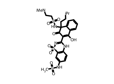 CNCCS(=O)(=O)NC1(CCC(C)C)C(=O)C(C2=NS(=O)(=O)c3cc(NS(C)(=O)=O)ccc3N2)=C(O)c2ccccc21